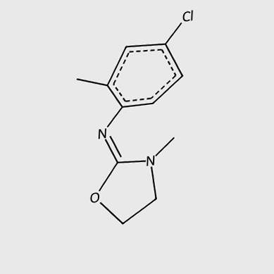 Cc1cc(Cl)ccc1/N=C1/OCCN1C